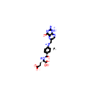 Nc1nc(=O)c2nc(CNc3ccc(C(=O)N[C@@H](CCC(=O)O)C(=O)O)cc3)cnc2[nH]1.[Pt]